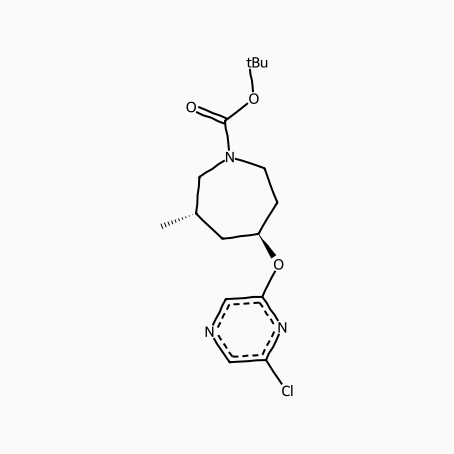 C[C@H]1C[C@H](Oc2cncc(Cl)n2)CCN(C(=O)OC(C)(C)C)C1